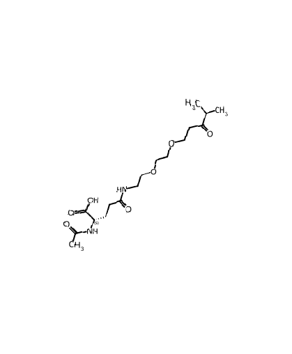 CC(=O)N[C@@H](CCC(=O)NCCOCCOCCC(=O)C(C)C)C(=O)O